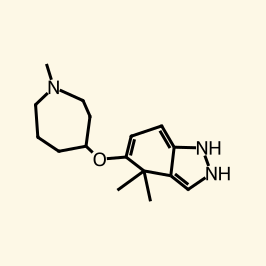 CN1CCCC(OC2=CC=C3NNC=C3C2(C)C)CC1